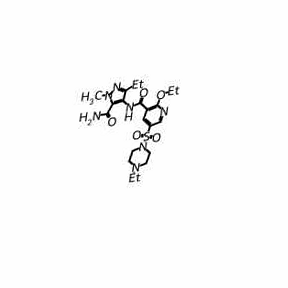 CCOc1ncc(S(=O)(=O)N2CCN(CC)CC2)cc1C(=O)Nc1c(CC)nn(C)c1C(N)=O